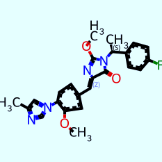 COC1=N/C(=C\c2ccc(-n3cnc(C)c3)c(OC)c2)C(=O)N1[C@@H](C)c1ccc(F)cc1